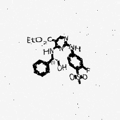 CCOC(=O)c1cnc(Nc2ccc(S(C)(=O)=O)c(F)c2)nc1N[C@H](CO)c1ccccc1